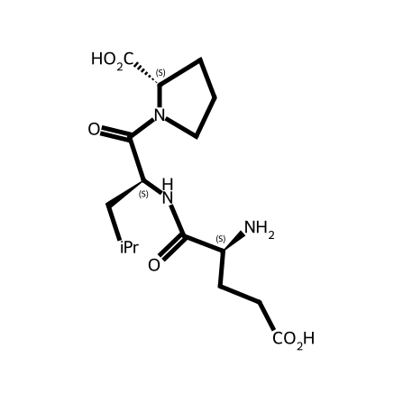 CC(C)C[C@H](NC(=O)[C@@H](N)CCC(=O)O)C(=O)N1CCC[C@H]1C(=O)O